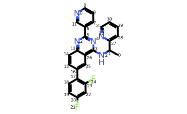 CC(Nc1nc(-c2cccnc2)nc2ccc(-c3ccc(F)cc3F)cc12)c1ccccn1